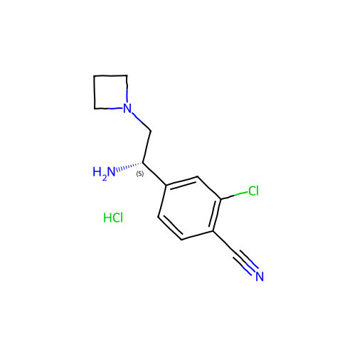 Cl.N#Cc1ccc([C@H](N)CN2CCC2)cc1Cl